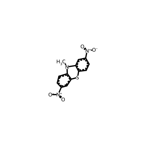 CN1c2ccc([N+](=O)[O-])cc2Sc2ccc([N+](=O)[O-])cc21